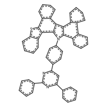 c1ccc(-c2cc(-c3ccc(-n4c5c6ccccc6c6ccccc6c5c5c6ccccc6c6sc7ccccc7c6c54)cc3)nc(-c3ccccc3)n2)cc1